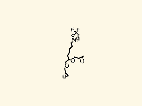 FC(F)(F)SNCCCCCC(COCC1CO1)OCC1CO1